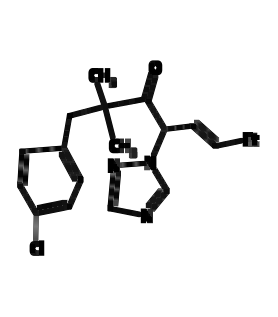 CCC=CC(C(=O)C(C)(C)Cc1ccc(Cl)cc1)n1cncn1